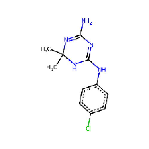 CC1(C)N=C(N)N=C(Nc2ccc(Cl)cc2)N1